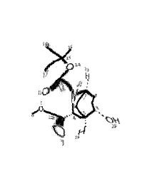 COC(=O)[C@H]1[C@H]2C[C@H](C[C@@H]2O)N1C(=O)OC(C)(C)C